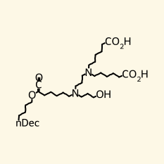 CCCCCCCCCCCCCCOC(=C=O)CCCCCN(CCCO)CCCN(CCCCCC(=O)O)CCCCCC(=O)O